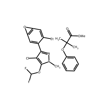 CCc1cc2c(cc1-c1nn(C)c(OC(F)F)c1Cl)O2.COC(=O)C(C)(C)Oc1ccccc1